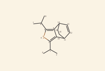 CC(C)c1sc(C(C)C)c2c1C1C=CC2CC1